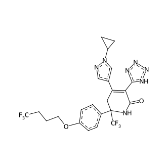 O=C1NC(c2ccc(OCCCC(F)(F)F)cc2)(C(F)(F)F)CC(c2cnn(C3CC3)c2)=C1c1nnn[nH]1